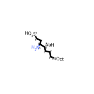 CCCCCCCCCCCCC(N)CCS(=O)(=O)O.[NaH]